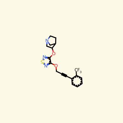 FC(F)(F)c1ccccc1C#CCOc1nsnc1OC1CN2CCC1C2